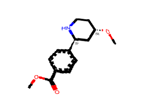 COC(=O)c1ccc([C@@H]2C[C@@H](OC)CCN2)cc1